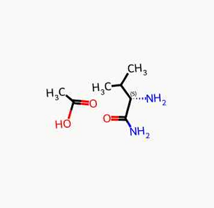 CC(=O)O.CC(C)[C@H](N)C(N)=O